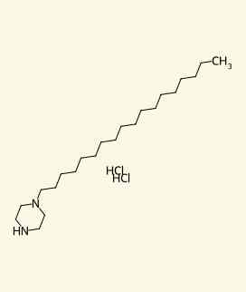 CCCCCCCCCCCCCCCCCCN1CCNCC1.Cl.Cl